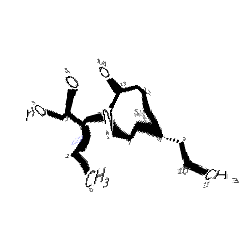 C/C=C(/C(=O)O)N1C[C@@H](CCC)CC1=O